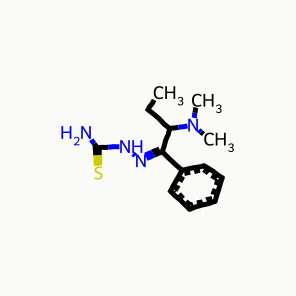 CCC(C(=NNC(N)=S)c1ccccc1)N(C)C